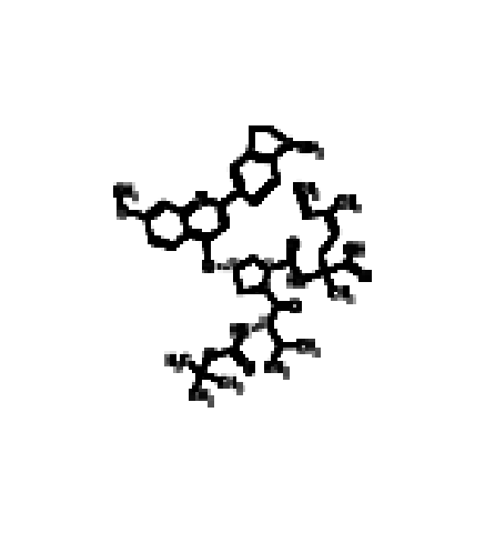 C=CC(C)=CCC(C)(NC(=O)[C@@H]1C[C@@H](Oc2cc(-c3ccc4c(c3)CCN4C)nc3cc(OC)ccc23)CN1C(=O)[C@@H](NC(=O)OC(C)(C)C)C(C)C)C(=O)O